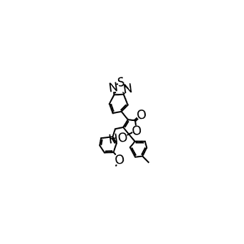 COc1cccc(CC2=C(c3ccc4nsnc4c3)C(=O)OC2(O)c2ccc(C)cc2)c1